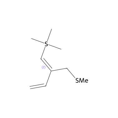 C=C/C(=C/S(C)(C)C)CSC